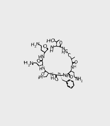 CC(C)CC1NC(=O)[C@@H](Cc2ccccc2)NC(=O)C(CCN)NC(=O)C(C)CCNC(=O)C(C(C)O)NC(=O)C(CCN)NC(=O)C(CCN)NC1=O